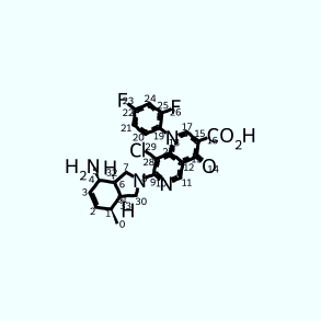 C[C@H]1C=C[C@@H](N)[C@H]2CN(c3ncc4c(=O)c(C(=O)O)cn(-c5ccc(F)cc5F)c4c3Cl)C[C@H]21